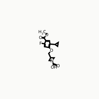 COC(=O)c1cc(C2CC2)c(OCC2CN(C(=O)O)C2)cc1F